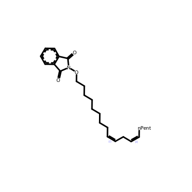 CCCCC/C=C\C/C=C\CCCCCCCCON1C(=O)c2ccccc2C1=O